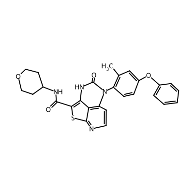 Cc1cc(Oc2ccccc2)ccc1N1C(=O)Nc2c(C(=O)NC3CCOCC3)sc3nccc1c23